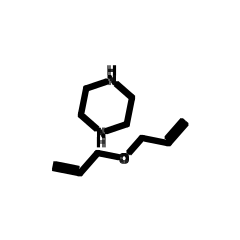 C1CNCCN1.C=CCOCC=C